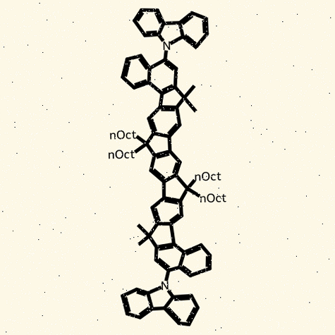 CCCCCCCCC1(CCCCCCCC)c2cc3c(cc2-c2cc4c(cc21)-c1cc2c(cc1C4(CCCCCCCC)CCCCCCCC)-c1c(cc(-n4c5ccccc5c5ccccc54)c4ccccc14)C2(C)C)C(C)(C)c1cc(-n2c4ccccc4c4ccccc42)c2ccccc2c1-3